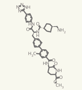 COC(=O)C1CCC(NC(=O)c2ccc(-c3ccc(C[C@H](NC(=O)[C@H]4CC[C@H](CN)CC4)C(=O)Nc4ccc(-c5nnn[nH]5)cc4)cc3)c(C)c2)C(=O)N1